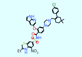 [CH2]C[C@H]1CSc2cc(S(=O)(=O)NC(=O)c3ccc(N4CCN(CC5=C(c6ccc(Cl)cc6)CC(C)(C)CC5)CC4)cc3Oc3cnc4[nH]ccc4c3)cc([N+](=O)[O-])c2N1